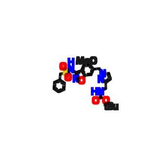 COc1cc(Cn2ccc(CNC(=O)OC(C)(C)C)n2)cc2onc(NS(=O)(=O)Cc3ccccc3)c12